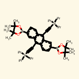 CC(C)[Si](C#Cc1c2ccc(B3OC(C)(C)C(C)(C)O3)cc2c(C#C[Si](C(C)C)(C(C)C)C(C)C)c2ccc(B3OC(C)(C)C(C)(C)O3)cc12)(C(C)C)C(C)C